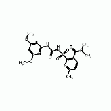 COc1cc(OC)nc(NC(=O)NS(=O)(=O)c2nc(C)ccc2C(=O)N(C)C)n1